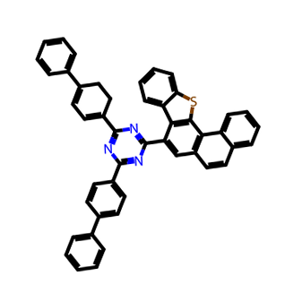 C1=C(c2ccccc2)CCC(c2nc(-c3ccc(-c4ccccc4)cc3)nc(-c3cc4ccc5ccccc5c4c4sc5ccccc5c34)n2)=C1